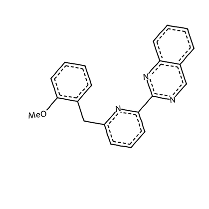 COc1ccccc1Cc1cccc(-c2ncc3ccccc3n2)n1